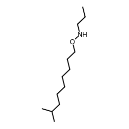 CCCNOCCCCCCCC(C)C